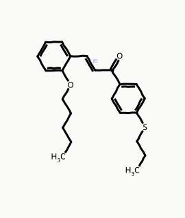 CCCCCOc1ccccc1/C=C/C(=O)c1ccc(SCCC)cc1